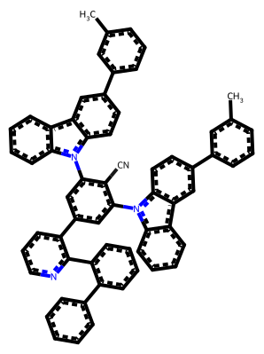 Cc1cccc(-c2ccc3c(c2)c2ccccc2n3-c2cc(-c3cccnc3-c3ccccc3-c3ccccc3)cc(-n3c4ccccc4c4cc(-c5cccc(C)c5)ccc43)c2C#N)c1